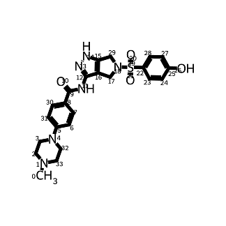 CN1CCN(c2ccc(C(=O)Nc3n[nH]c4c3CN(S(=O)(=O)c3ccc(O)cc3)C4)cc2)CC1